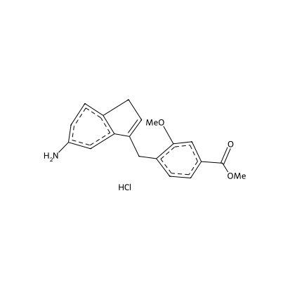 COC(=O)c1ccc(CC2=CCc3ccc(N)cc32)c(OC)c1.Cl